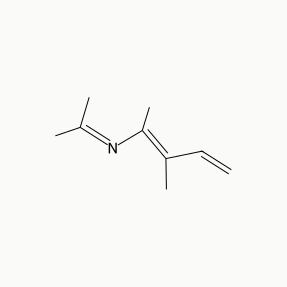 C=C/C(C)=C(\C)N=C(C)C